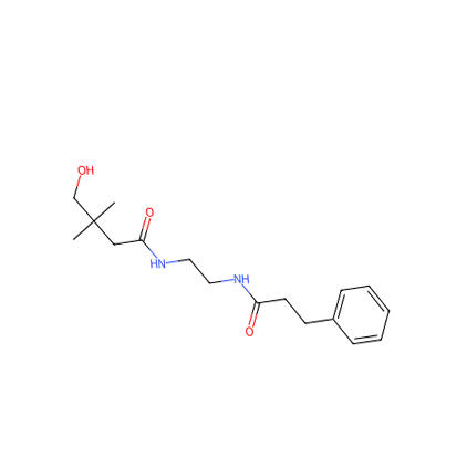 CC(C)(CO)CC(=O)NCCNC(=O)CCc1ccccc1